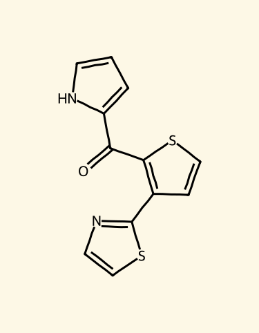 O=C(c1ccc[nH]1)c1sccc1-c1nccs1